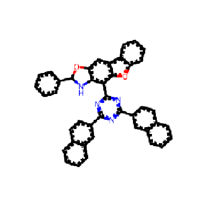 c1ccc(C2Nc3c(cc4c(oc5ccccc54)c3-c3nc(-c4ccc5ccccc5c4)nc(-c4ccc5ccccc5c4)n3)O2)cc1